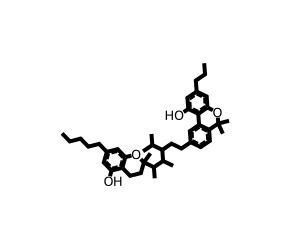 CCCCCc1cc(O)c2c(c1)OC(C)(C(C)C(C)C(CCc1ccc3c(c1)-c1c(O)cc(CCC)cc1OC3(C)C)C(C)C)CC2